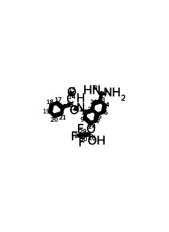 N=C(N)c1ccc2cccc(NOC(=C=O)c3ccccc3)c2c1.O=C(O)C(F)(F)F